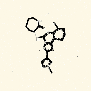 Cn1cc(-c2nc3c4cccc(Cl)c4nc(N[C@@H]4CCCCNC4=O)n3n2)cn1